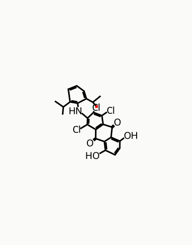 CC(C)c1cccc(C(C)C)c1Nc1c(Cl)c(Cl)c2c(c1Cl)C(=O)c1c(O)ccc(O)c1C2=O